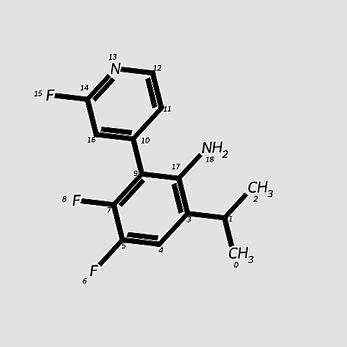 CC(C)c1cc(F)c(F)c(-c2ccnc(F)c2)c1N